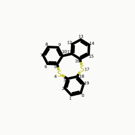 c1ccc2sc3ccccc3c3ccccc3sc2c1